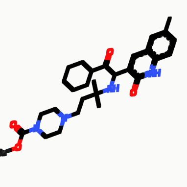 Cc1ccc2[nH]c(=O)c(C(NC(C)(C)CCN3CCN(C(=O)OC(C)(C)C)CC3)C(=O)C3CCCCC3)cc2c1